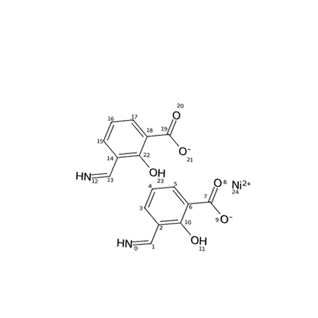 N=Cc1cccc(C(=O)[O-])c1O.N=Cc1cccc(C(=O)[O-])c1O.[Ni+2]